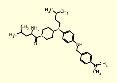 CC(C)CCN(c1ccc(NCc2ccc(N(C)C)cc2)cc1)C1CCN(C(=O)C(N)CC(C)C)CC1